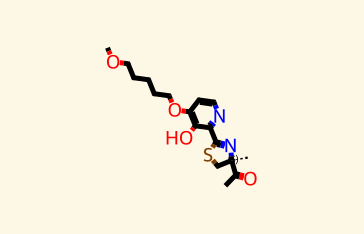 COCCCCCOc1ccnc(C2=N[C@@](C)(C(C)=O)CS2)c1O